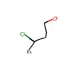 CCC(Cl)CC[O]